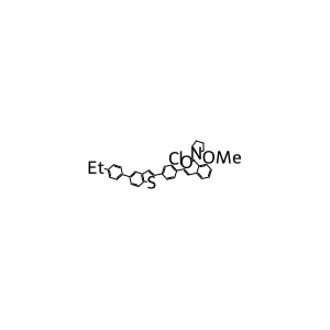 CCc1ccc(-c2ccc3sc(-c4ccc(C=Cc5cccc(OC)c5C(=O)N5CCCC5)c(Cl)c4)cc3c2)cc1